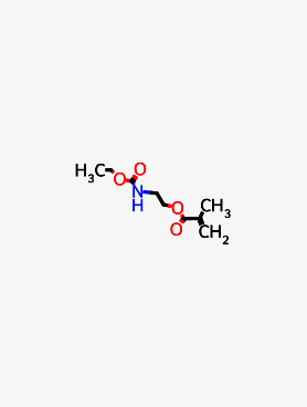 C=C(C)C(=O)OCCNC(=O)OCC